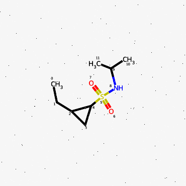 CCC1CC1S(=O)(=O)NC(C)C